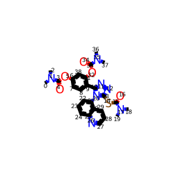 CN(C)C(=O)Oc1ccc(-c2nnc(SC(=O)N(C)C)n2-c2cccc3ncccc23)c(OC(=O)N(C)C)c1